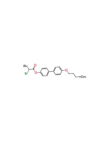 CCCCCCCCCCCCCOc1ccc(-c2ccc(OC(=O)C(Br)C(C)CC)cc2)cc1